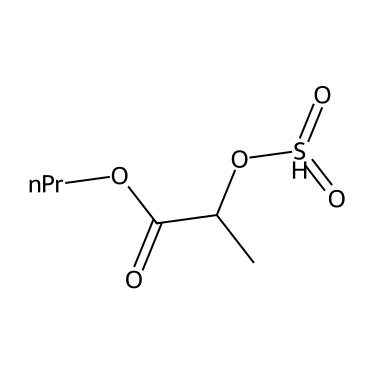 CCCOC(=O)C(C)O[SH](=O)=O